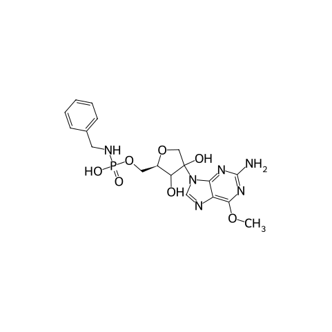 COc1nc(N)nc2c1ncn2C1(O)CO[C@H](COP(=O)(O)NCc2ccccc2)C1O